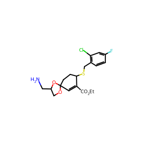 CCOC(=O)C1=CC2(CCC1SCc1ccc(F)cc1Cl)OCC(CN)O2